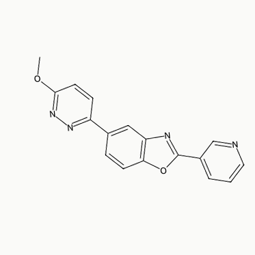 COc1ccc(-c2ccc3oc(-c4cccnc4)nc3c2)nn1